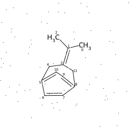 CC(C)=C1Cc2ccc(cc2)C1